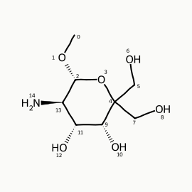 CO[C@@H]1OC(CO)(CO)[C@H](O)[C@H](O)[C@H]1N